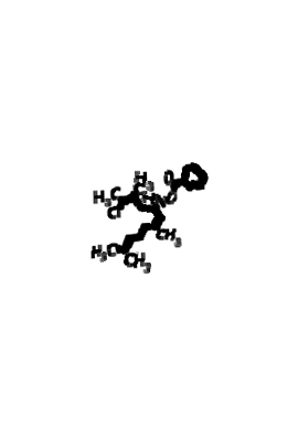 CC(C)=CCCC(C)=CC(CC(C)=C(C)Cl)NOC(=O)c1ccccc1